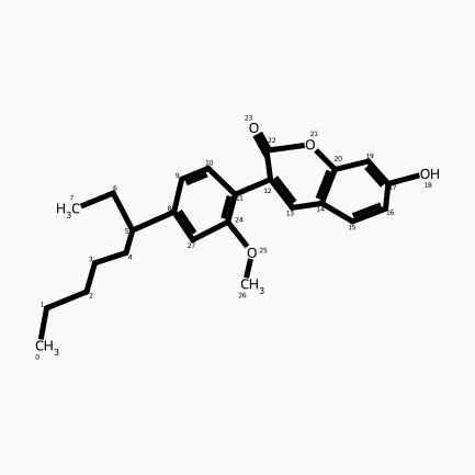 CCCCCC(CC)c1ccc(-c2cc3ccc(O)cc3oc2=O)c(OC)c1